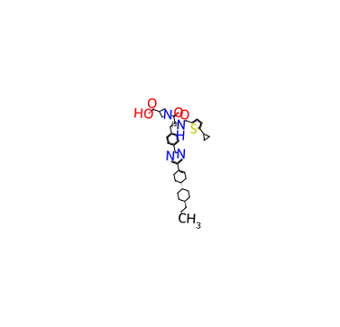 CCC[C@H]1CC[C@H](C2CC=C(c3cnc(-c4ccc(C[C@H](NC(=O)c5ccc(C6CC6)s5)C(=O)N5CC(C(=O)O)C5)cc4)nc3)CC2)CC1